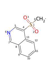 [CH2]S(=O)(=O)c1cncc2ccccc12